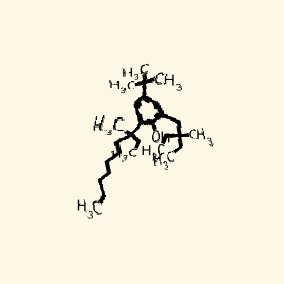 CCCCCCCC(C)(CC)c1cc(C(C)(C)C)cc(CC(C)(CC)CC)c1O